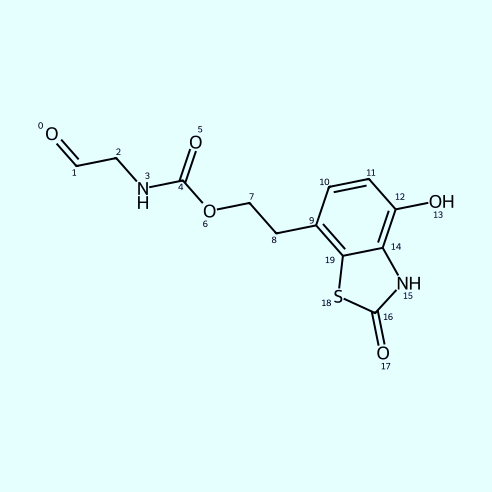 O=CCNC(=O)OCCc1ccc(O)c2[nH]c(=O)sc12